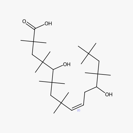 CC(C)(C)CC(C)(C)C(O)C/C=C\C(C)(C)CC(C)(C)C(O)C(C)(C)CC(C)(C)C(=O)O